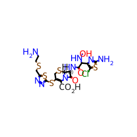 NCCSCc1nnc(SC2=C(C(=O)O)N3C(=O)[C@@H](NC(=O)C(NO)c4nc(N)sc4Cl)[C@@H]3SC2)s1